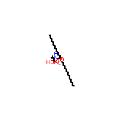 CCCCCCCCCCCCCCCC(=O)OC(CCCCCCCCCCCCCC)C(=O)N[C@H](C(=O)O)C(C)C